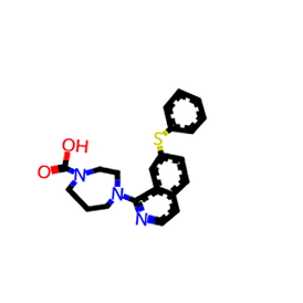 O=C(O)N1CCCN(c2nccc3ccc(Sc4ccccc4)cc23)CC1